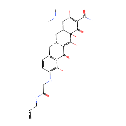 C=CCNC(=O)CNc1ccc2c(c1O)C(=O)C1=C(O)C3(O)C(=O)C(C(N)=O)=C(O)[C@@H](N(C)C)C3CC1C2